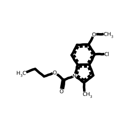 CCCOC(=O)n1c(C)cc2c(Cl)c(OC)ccc21